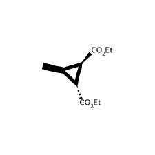 C=C1[C@@H](C(=O)OCC)[C@@H]1C(=O)OCC